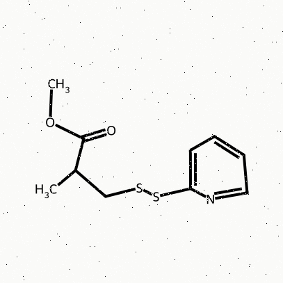 COC(=O)C(C)CSSc1ccccn1